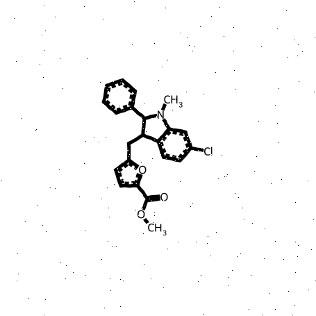 COC(=O)c1ccc(CC2c3ccc(Cl)cc3N(C)C2c2ccccc2)o1